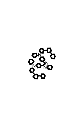 c1ccc(-c2cccc(-c3cccc(N(c4ccccc4)c4ccc(-c5nc6ccccc6nc5-c5ccc(N(c6ccccc6)c6cccc(-c7cccc(-c8ccccc8)c7)c6)cc5)cc4)c3)c2)cc1